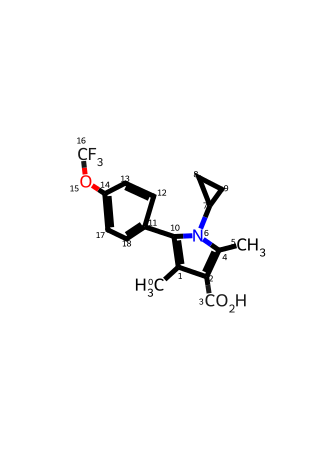 Cc1c(C(=O)O)c(C)n(C2CC2)c1-c1ccc(OC(F)(F)F)cc1